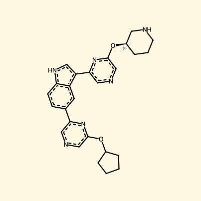 c1cc2[nH]cc(-c3cncc(O[C@@H]4CCCNC4)n3)c2cc1-c1cncc(OC2CCCC2)n1